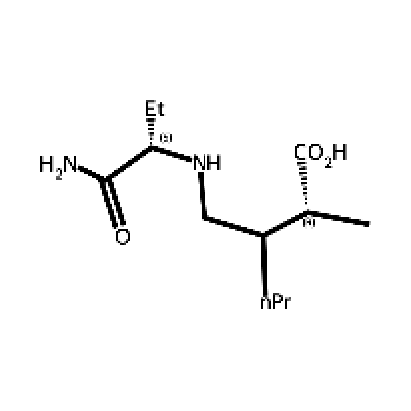 CCCC(CN[C@@H](CC)C(N)=O)[C@@H](C)C(=O)O